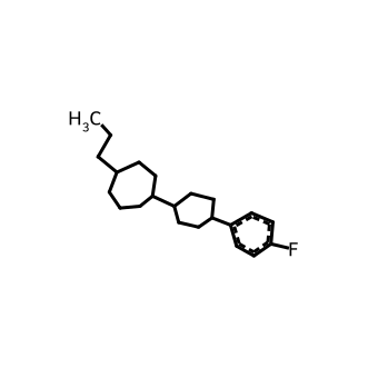 CCCC1CCCC(C2CCC(c3ccc(F)cc3)CC2)CC1